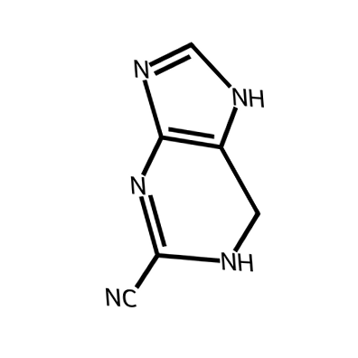 N#CC1=Nc2nc[nH]c2CN1